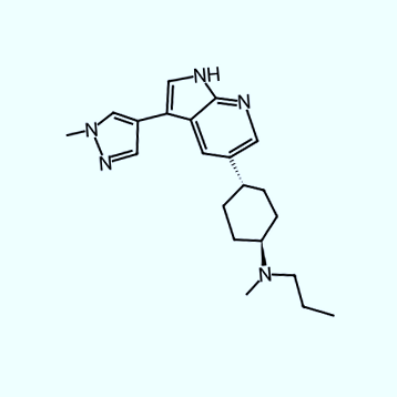 CCCN(C)[C@H]1CC[C@H](c2cnc3[nH]cc(-c4cnn(C)c4)c3c2)CC1